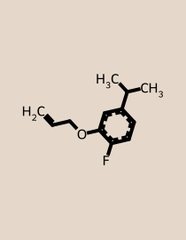 C=CCOc1cc(C(C)C)ccc1F